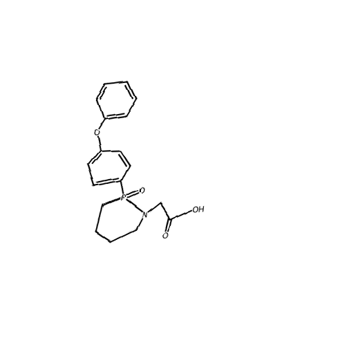 O=C(O)CN1CCCCP1(=O)c1ccc(Oc2ccccc2)cc1